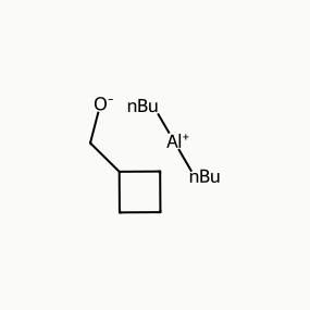 CCC[CH2][Al+][CH2]CCC.[O-]CC1CCC1